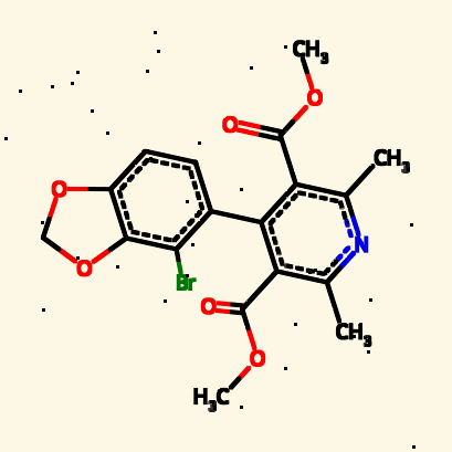 COC(=O)c1c(C)nc(C)c(C(=O)OC)c1-c1ccc2c(c1Br)OCO2